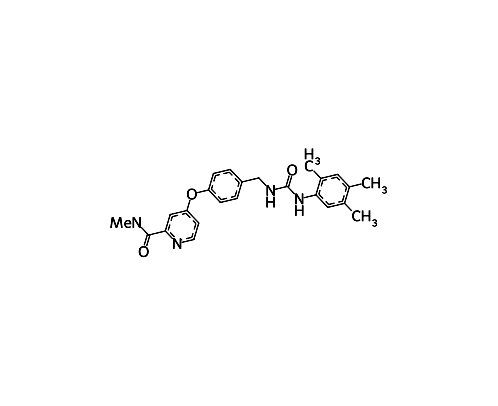 CNC(=O)c1cc(Oc2ccc(CNC(=O)Nc3cc(C)c(C)cc3C)cc2)ccn1